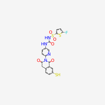 O=C(Nc1ccc(N2C(=O)Cc3ccc(S)cc3C2=O)nc1)NS(=O)(=O)c1ccc(F)s1